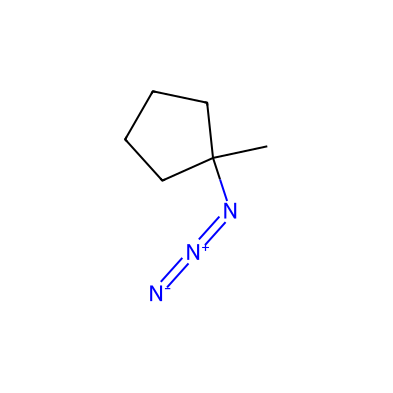 CC1(N=[N+]=[N-])CCCC1